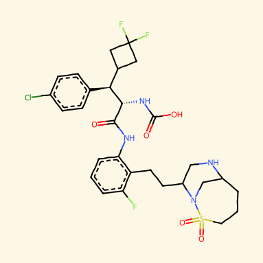 O=C(O)N[C@H](C(=O)Nc1cccc(F)c1CCC1CNC2CCCS(=O)(=O)N1C2)[C@@H](c1ccc(Cl)cc1)C1CC(F)(F)C1